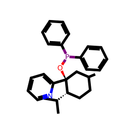 CC1CC[C@H](C(C)C)[C@](OP(c2ccccc2)c2ccccc2)(c2ccccn2)C1